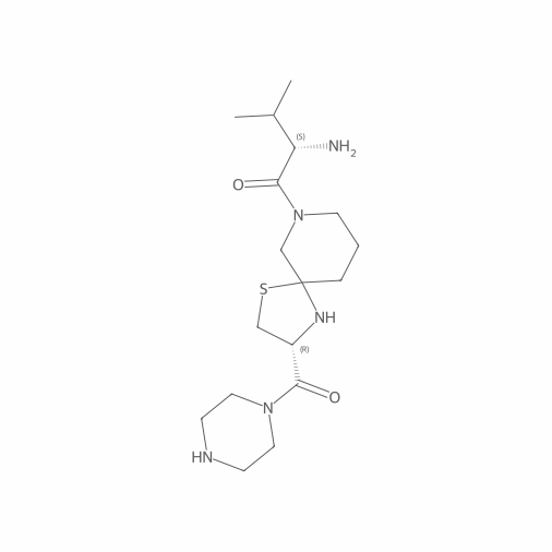 CC(C)[C@H](N)C(=O)N1CCCC2(C1)N[C@H](C(=O)N1CCNCC1)CS2